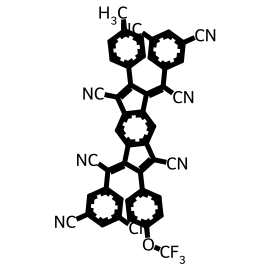 Cc1ccc(C2=C(C#N)c3cc4c(cc3/C2=C(\C#N)c2cc(C#N)cc(C#N)c2)C(C#N)=C(c2ccc(OC(F)(F)F)cc2)/C4=C(/C#N)c2cc(C#N)cc(C#N)c2)cc1